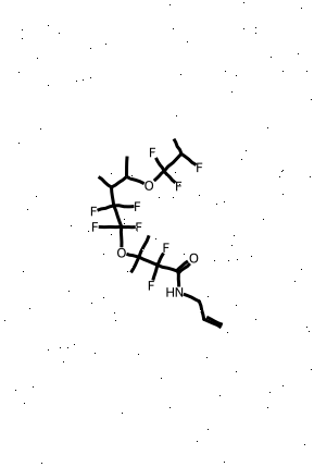 C=CCNC(=O)C(F)(F)C(C)(C)OC(F)(F)C(F)(F)C(C)C(C)OC(F)(F)C(C)F